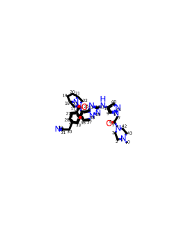 CN1CCN(C(=O)Cn2cc(Nc3nc4c(N5CC6CCC(C5)N6C(=O)c5ccc(CC#N)cc5)cccn4n3)cn2)CC1